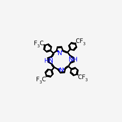 FC(F)(F)c1ccc(-c2c3nc(c(-c4ccc(C(F)(F)F)cc4)c4ccc([nH]4)c(-c4ccc(C(F)(F)F)cc4)c4nc(c(-c5ccc(C(F)(F)F)cc5)c5ccc2[nH]5)C=C4)C=C3)cc1